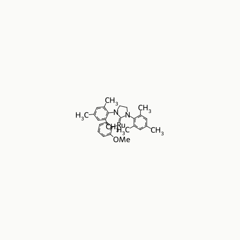 COc1cccc[c]1[Ru]=[C]1N(c2c(C)cc(C)cc2C)CCN1c1c(C)cc(C)cc1C